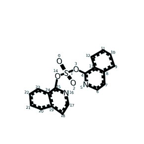 O=S(=O)(Oc1nccc2ccccc12)Oc1nccc2ccccc12